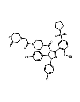 CCOc1ccc(S(=O)(=O)N2CCCC2)cc1C1=NC(c2ccc(Cl)cc2)C(c2ccc(Cl)cc2)N1C(=O)N1CCN(C(=O)CN2CCNC(=O)C2)CC1